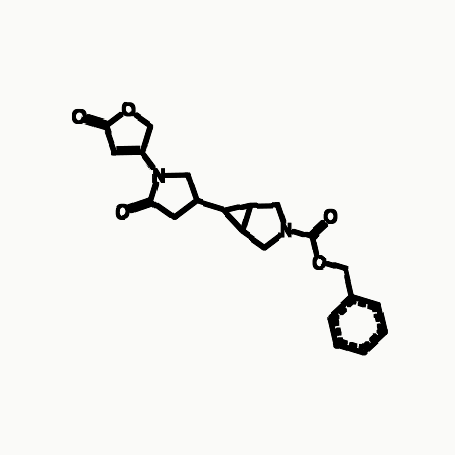 O=C1C=C(N2CC(C3C4CN(C(=O)OCc5ccccc5)CC43)CC2=O)CO1